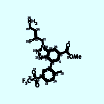 COC(=O)c1cc(-c2cc(S(=O)(=O)C(F)(F)F)ccc2C)c2nnn(C/C(F)=C/CN)c2c1